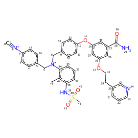 [C-]#[N+]c1ccc(CN(Cc2ccc(Oc3cc(OCCc4cccnc4)cc(C(N)=O)c3)cc2)c2cccc(NS(C)(=O)=O)c2C)cc1